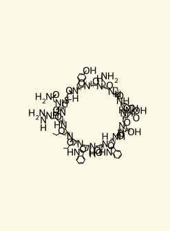 CCCC[C@H]1C(=O)N(C)[C@@H](CCCC)C(=O)N[C@@H](CCCNC(=N)N)C(=O)N[C@H](C(=O)NCC(N)=O)CSCC(=O)N[C@@H](Cc2ccc(O)cc2)C(=O)N(C)[C@@H](C)C(=O)N[C@@H](CCN)C(=O)N2CCC[C@H]2C(=O)N[C@@H](Cc2cnc[nH]2)C(=O)N[C@@H](CCC(=O)O)C(=O)N2C[C@H](O)C[C@H]2C(=O)N[C@@H](Cc2c[nH]c3ccccc23)C(=O)N[C@@H](CO)C(=O)N[C@@H](Cc2c[nH]c3ccccc23)C(=O)N1C